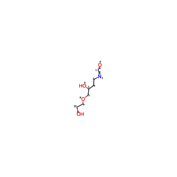 O=C=NCCC(O)COCCO